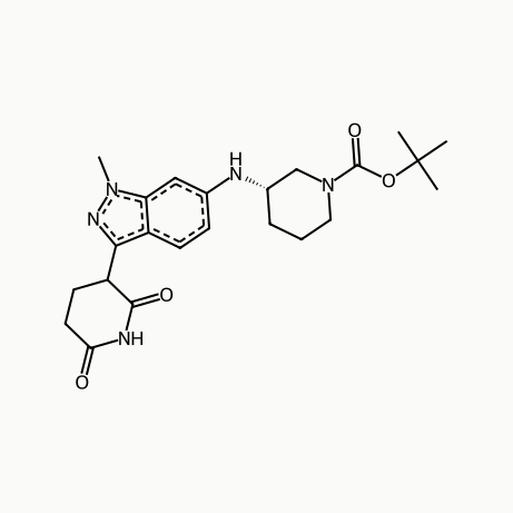 Cn1nc(C2CCC(=O)NC2=O)c2ccc(N[C@H]3CCCN(C(=O)OC(C)(C)C)C3)cc21